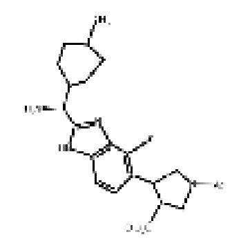 CCOC(=O)C1CN(C(C)=O)CC1c1ccc2[nH]c([C@@H](N)C3CCC(C)CC3)nc2c1F